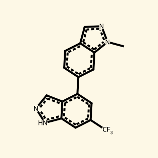 Cn1ncc2ccc(-c3cc(C(F)(F)F)cc4[nH]ncc34)cc21